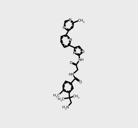 Cc1cc(-c2cccc(-c3csc(NC(=O)CNC(=O)c4ccc(C)c(C(C)(C)CN)c4)n3)n2)ncn1